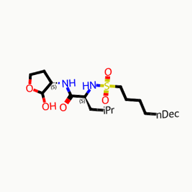 CCCCCCCCCCCCCCS(=O)(=O)N[C@@H](CC(C)C)C(=O)N[C@H]1CCOC1O